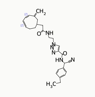 C=C1/C=C\C=C/CCC(CC(=O)NCCn2cc(C(=O)NC(C#N)c3ccc(CC)cc3)nn2)C1